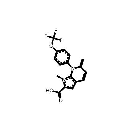 C=C1C=Cc2cc(C(=O)O)n(C)c2N1c1ccc(OC(F)(F)F)cc1